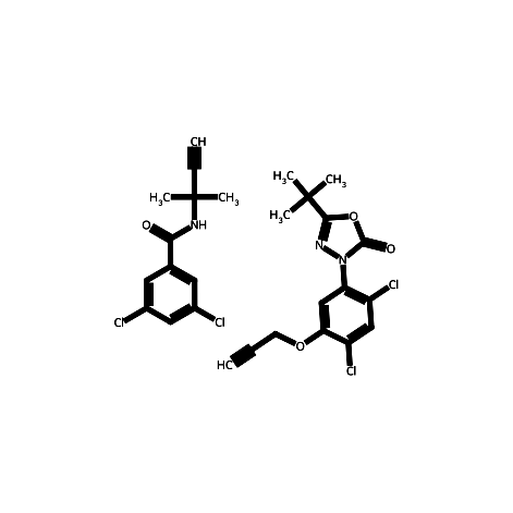 C#CC(C)(C)NC(=O)c1cc(Cl)cc(Cl)c1.C#CCOc1cc(-n2nc(C(C)(C)C)oc2=O)c(Cl)cc1Cl